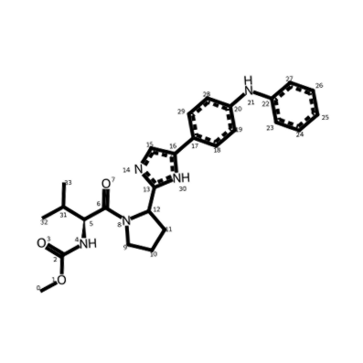 COC(=O)N[C@H](C(=O)N1CCCC1c1ncc(-c2ccc(Nc3ccccc3)cc2)[nH]1)C(C)C